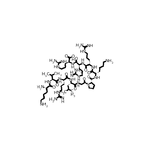 CC(C)C[C@H](NC(=O)[C@H](CCCNC(=N)N)NC(=O)[C@@H](NC(=O)[C@@H](N)CCCCN)C(C)C)C(=O)NCC(=O)N1CCC[C@H]1C(=O)N[C@@H](CCCCN)C(=O)N[C@@H](CCCNC(=N)N)C(=O)N[C@@H](CCCNC(=N)N)C(=O)N[C@@H](CCCNC(=N)N)C(=O)O